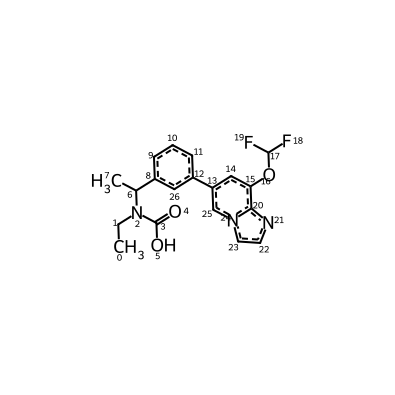 CCN(C(=O)O)C(C)c1cccc(-c2cc(OC(F)F)c3nccn3c2)c1